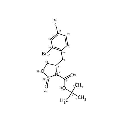 CC(C)(C)OC(=O)N1C(Cc2ccc(Cl)cc2Br)COS1=O